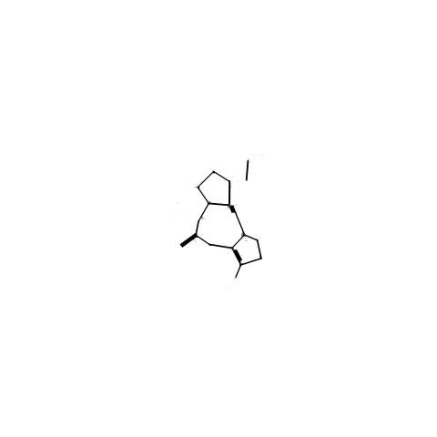 COC[C@H]1CCC2/C1=C\[C@@]1(C)CCC(C)=C1CC(=O)[C@@H]2C